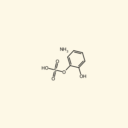 N.O=S(=O)(O)Oc1ccccc1O